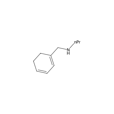 CCCNCC1=CC=CCC1